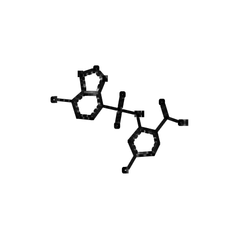 O=C(O)c1ccc(Cl)cc1NS(=O)(=O)c1ccc(Cl)c2nonc12